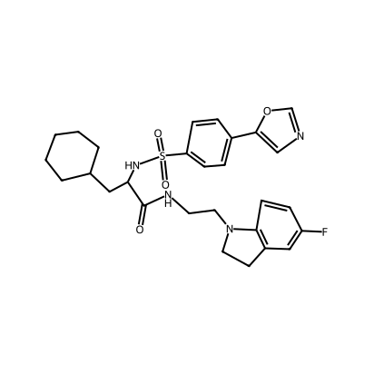 O=C(NCCN1CCc2cc(F)ccc21)C(CC1CCCCC1)NS(=O)(=O)c1ccc(-c2cnco2)cc1